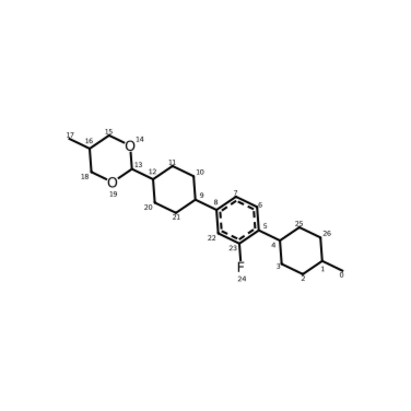 CC1CCC(c2ccc(C3CCC(C4OCC(C)CO4)CC3)cc2F)CC1